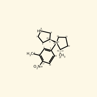 Cc1cc([N+]2([C@H]3CCNC3)CCC[C@@H]2C)ccc1[N+](=O)[O-]